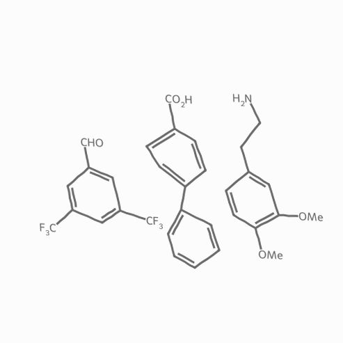 COc1ccc(CCN)cc1OC.O=C(O)c1ccc(-c2ccccc2)cc1.O=Cc1cc(C(F)(F)F)cc(C(F)(F)F)c1